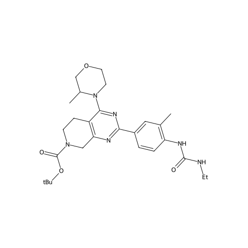 CCNC(=O)Nc1ccc(-c2nc3c(c(N4CCOCC4C)n2)CCN(C(=O)OC(C)(C)C)C3)cc1C